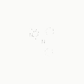 Cc1ccccc1C(c1nnnn1C(C)(C)C)N1CCc2ccccc2C1